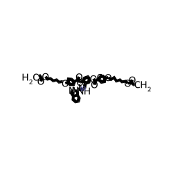 C=CC(=O)OCCCCCCOc1ccc(C(=O)Oc2ccc(OC(=O)c3ccc(OCCCCCCOC(=O)C=C)cc3)c(/C=N/NC3N=NC=C4C=CC=CC43)c2)cc1